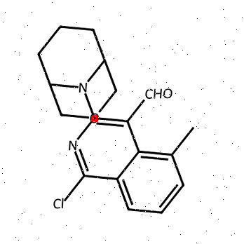 Cc1cccc2c(Cl)nc(N3C4CCCC3COC4)c(C=O)c12